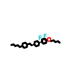 CCCCCOc1ccc([C@H]2CC[C@H](CCC3CCC(CCCCC)CC3)CC2)c(F)c1F